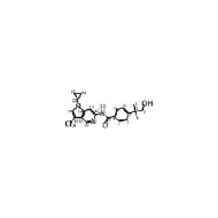 CC(C)(CO)c1ccc(C(=O)Nc2cc3c(cn2)c(Cl)cn3C2CC2)cc1